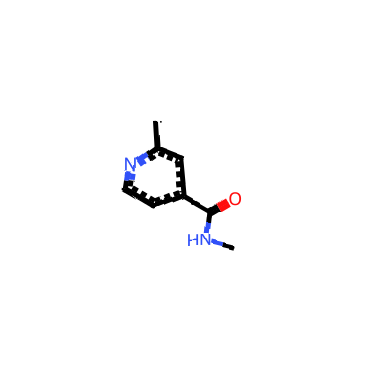 [CH2]c1cc(C(=O)NC)ccn1